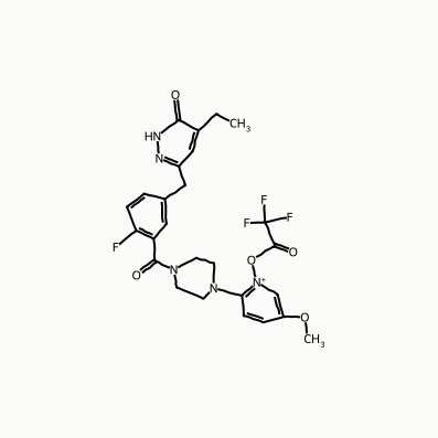 CCc1cc(Cc2ccc(F)c(C(=O)N3CCN(c4ccc(OC)c[n+]4OC(=O)C(F)(F)F)CC3)c2)n[nH]c1=O